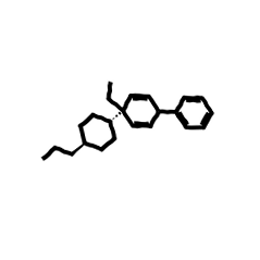 CCC[C@H]1CC[C@H](C2(CC)C=CC(c3ccccc3)C=C2)CC1